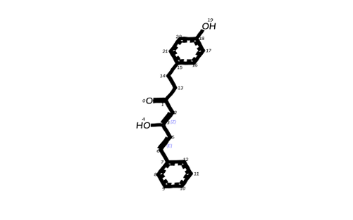 O=C(/C=C(O)/C=C/c1ccccc1)CCc1ccc(O)cc1